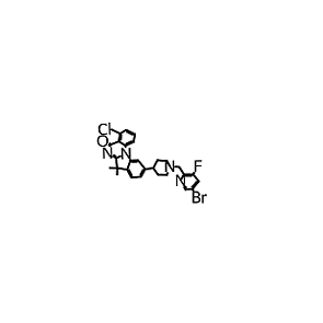 CC1(C)c2ccc(C3CCN(Cc4ncc(Br)cc4F)CC3)cc2-n2c1nc(=O)c1c(Cl)cccc12